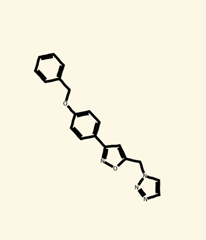 c1ccc(COc2ccc(-c3cc(Cn4ccnn4)on3)cc2)cc1